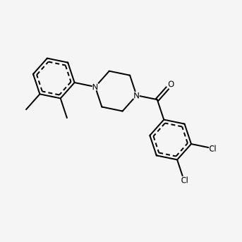 Cc1cccc(N2CCN(C(=O)c3ccc(Cl)c(Cl)c3)CC2)c1C